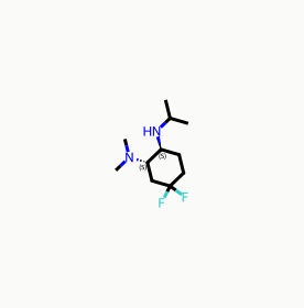 CC(C)N[C@H]1CCC(F)(F)C[C@@H]1N(C)C